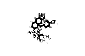 C=C/C(=N\C)S(=O)(=O)N(C(C)C)[C@H]1CCC2=Cc3[nH]ncc3C[C@]2(C(=O)c2ccc(C(F)(F)F)cn2)C1